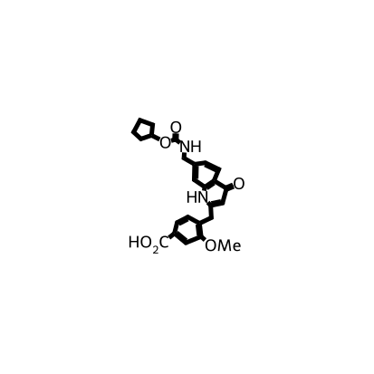 COc1cc(C(=O)O)ccc1Cc1cc(=O)c2ccc(CNC(=O)OC3CCCC3)cc2[nH]1